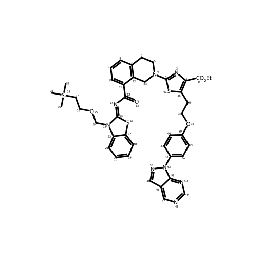 CCOC(=O)c1nc(N2CCc3cccc(C(=O)/N=c4\sc5ccccc5n4COCC[Si](C)(C)C)c3C2)sc1CCOc1ccc(-n2ncc3cncnc32)cc1